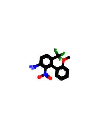 COc1ccccc1-c1c(C(F)(F)F)ccc(N)c1[N+](=O)[O-]